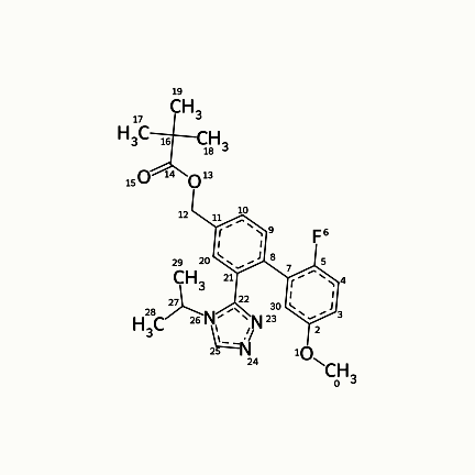 COc1ccc(F)c(-c2ccc(COC(=O)C(C)(C)C)cc2-c2nncn2C(C)C)c1